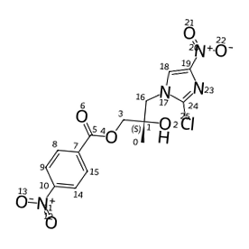 C[C@@](O)(COC(=O)c1ccc([N+](=O)[O-])cc1)Cn1cc([N+](=O)[O-])nc1Cl